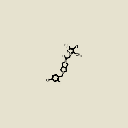 Cc1c(Cl)c(C(F)(F)F)nn1CC(=O)N1CC2CN(Cc3ccc(Cl)cc3Cl)CC2C1